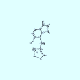 Clc1ccc2[nH]nnc2c1NC1=NCCN1